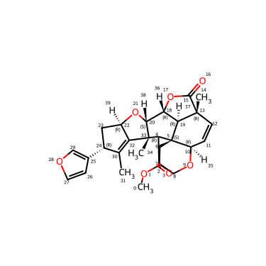 COC(=O)C1[C@@]23CCCO[C@@H]2C=C[C@@]2(C)C(=O)O[C@H]([C@H]32)[C@H]2O[C@@H]3C[C@@H](c4ccoc4)C(C)=C3[C@@]12C